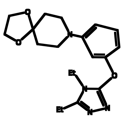 CCc1nnc(Oc2cccc(N3CCC4(CC3)OCCO4)c2)n1CC